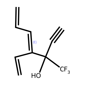 C#CC(O)(/C(C=C)=C/C=C)C(F)(F)F